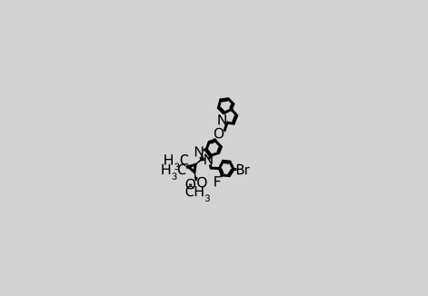 COC(=O)[C@@H]1[C@H](c2nc3cc(OCc4ccc5ccccc5n4)ccc3n2Cc2ccc(Br)cc2F)C1(C)C